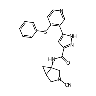 N#CN1CC2C[C@]2(NC(=O)c2cc(-c3cnccc3Sc3ccccc3)[nH]n2)C1